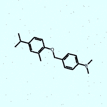 CB(C)c1ccc(COc2ccc(C(C)C)cc2C)cc1